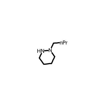 CCCCN1CCCCN1